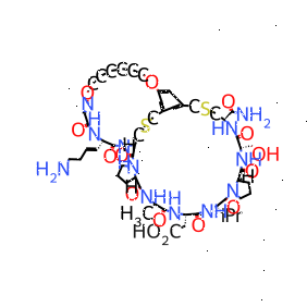 CC(C)[C@@H]1NC(=O)[C@H](CC(=O)O)NC(=O)[C@H](C)NC(=O)[C@@H]2CCCN2C(=O)[C@@H]2CSCc3cc(cc(c3)OCCCCCCO/N=C/C(=O)N[C@@H](/C=C/CCN)C(=O)N2)CSC[C@@H](C(N)=O)NC(=O)[C@H](CO)NC(=O)[C@@H]2CCCN2C1=O